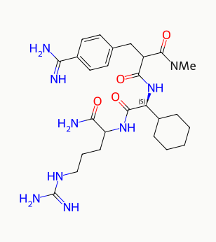 CNC(=O)C(Cc1ccc(C(=N)N)cc1)C(=O)N[C@H](C(=O)NC(CCCNC(=N)N)C(N)=O)C1CCCCC1